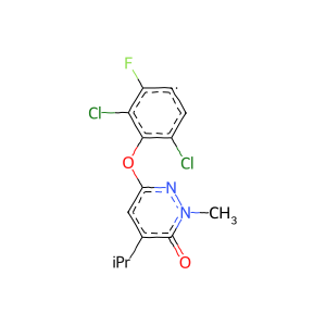 CC(C)c1cc(Oc2c(Cl)c[c]c(F)c2Cl)nn(C)c1=O